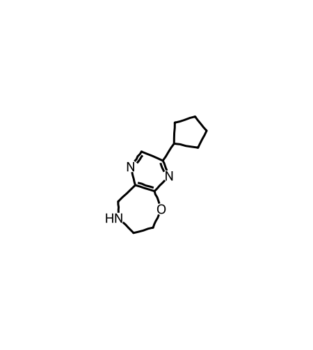 c1nc2c(nc1C1CCCC1)OCCNC2